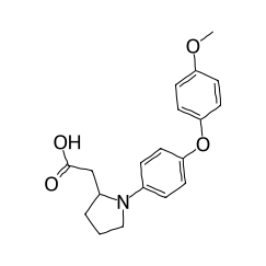 COc1ccc(Oc2ccc(N3CCCC3CC(=O)O)cc2)cc1